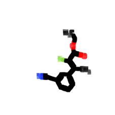 CCOC(=O)C(F)=C(C)c1cccc(C#N)c1